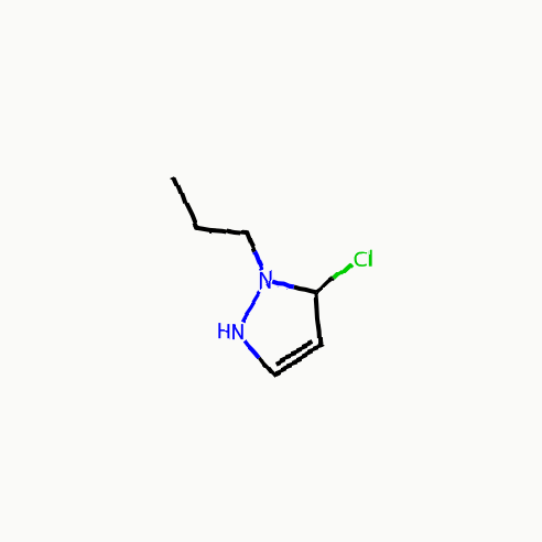 CCCN1NC=CC1Cl